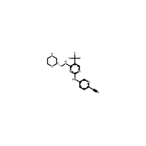 N#Cc1ccc(Nc2ncc(C(F)(F)F)c(NC[C@H]3CNCCO3)n2)cn1